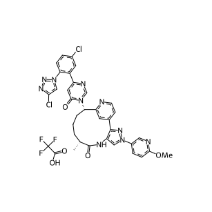 COc1ccc(-n2cc3c(n2)-c2ccnc(c2)[C@@H](n2cnc(-c4cc(Cl)ccc4-n4cc(Cl)nn4)cc2=O)CCC[C@@H](C)C(=O)N3)cn1.O=C(O)C(F)(F)F